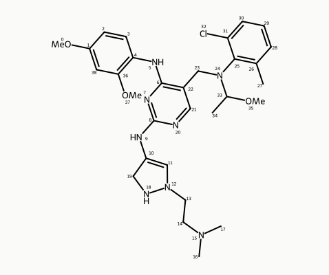 COc1ccc(Nc2nc(NC3=CN(CCN(C)C)NC3)ncc2CN(c2c(C)cccc2Cl)C(C)OC)c(OC)c1